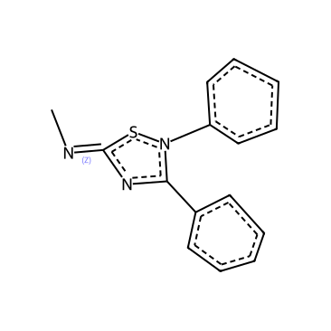 C/N=c1/nc(-c2ccccc2)n(-c2ccccc2)s1